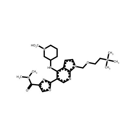 CN(C)C(=O)c1coc(-c2cnc3c(ccn3COCC[Si](C)(C)C)c2NC2CCCN(C(=O)O)C2)n1